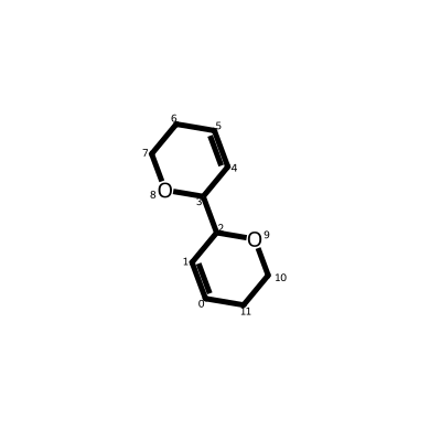 C1=CC(C2C=CCCO2)OCC1